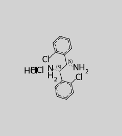 Cl.Cl.N[C@@H](c1ccccc1Cl)[C@@H](N)c1ccccc1Cl